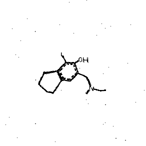 CN(C)Cc1cc2c(c(I)c1O)CCCC2